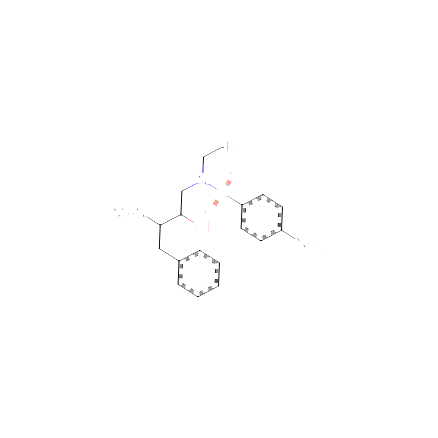 CNC(Cc1ccccc1)C(O)CN(CC(C)C)S(=O)(=O)c1ccc([N+](=O)[O-])cc1